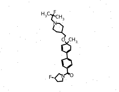 CC(C)(F)CN1CCC(COC2(C)C=CC(c3ccc(C(=O)N4CC[C@@H](F)C4)cc3)=CC2)CC1